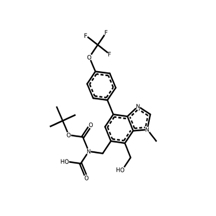 Cn1cnc2c(-c3ccc(OC(F)(F)F)cc3)cc(CN(C(=O)O)C(=O)OC(C)(C)C)c(CO)c21